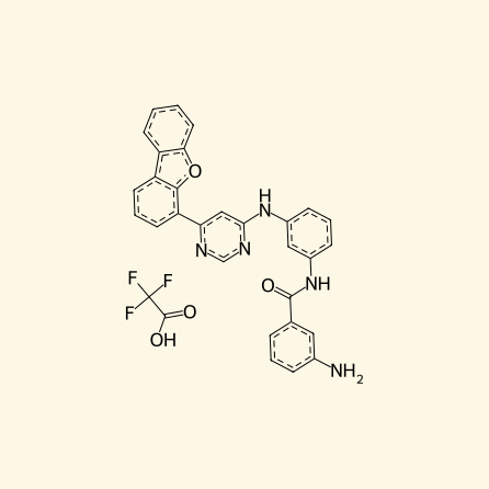 Nc1cccc(C(=O)Nc2cccc(Nc3cc(-c4cccc5c4oc4ccccc45)ncn3)c2)c1.O=C(O)C(F)(F)F